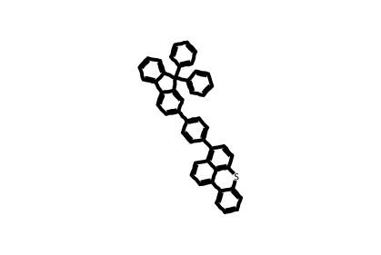 c1ccc(C2(c3ccccc3)c3ccccc3-c3ccc(-c4ccc(-c5ccc6c7c(cccc57)-c5ccccc5S6)cc4)cc32)cc1